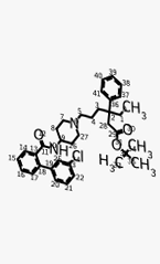 CCC(CCCN1CCC(NC(=O)c2ccccc2-c2cccc(Cl)c2)CC1)(CC(=O)OC(C)(C)C)c1ccccc1